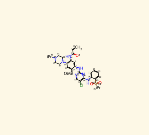 C=CC(=O)Nc1cc(Nc2ncc(Cl)c(Nc3ccccc3S(=O)(=O)C(C)C)n2)c(OC)cc1N1CCN(C(C)C)CC1